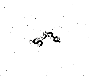 COc1cnc2c(NCc3nnc4ccc(-c5ccc(C)nc5)nn34)ccnc2c1